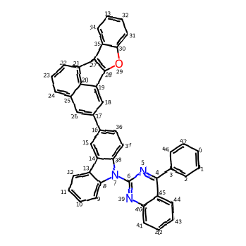 c1ccc(-c2nc(-n3c4ccccc4c4cc(-c5cc6c7c(cccc7c5)-c5c-6oc6ccccc56)ccc43)nc3ccccc23)cc1